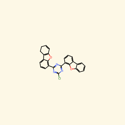 Clc1nc(-c2cccc3c4c(oc23)C=CCC4)nc(-c2cccc3c2oc2ccccc23)n1